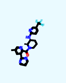 Cc1cnc(C(=O)N2CCC[C@@H](Nc3ccc(C(F)(F)F)cn3)[C@@H]2C)c(-c2ncccn2)c1